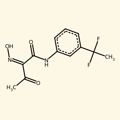 CC(=O)/C(=N/O)C(=O)Nc1cccc(C(C)(F)F)c1